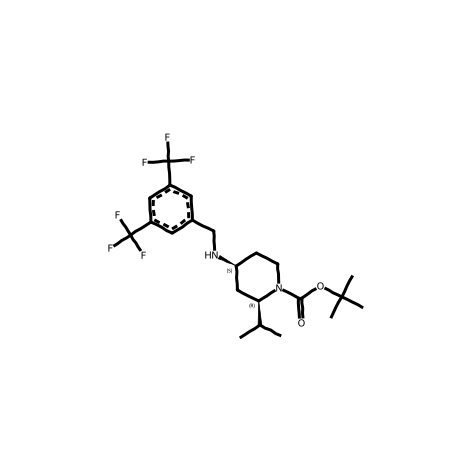 CC(C)[C@H]1C[C@@H](NCc2cc(C(F)(F)F)cc(C(F)(F)F)c2)CCN1C(=O)OC(C)(C)C